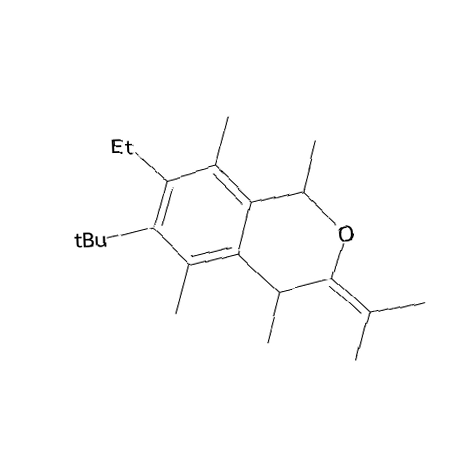 CCc1c(C)c2c(c(C)c1C(C)(C)C)C(C)C(=C(C)C)OC2C